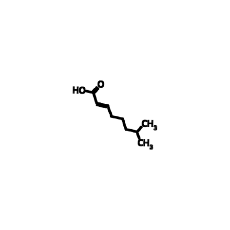 CC(C)CCCC=CC(=O)O